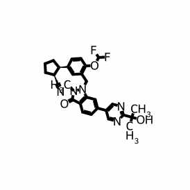 Cn1c(=O)c2ccc(-c3cnc(C(C)(C)O)nc3)cc2n1Cc1cc([C@@H]2CCC[C@@H]2C#N)ccc1OC(F)F